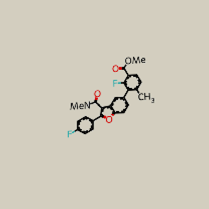 CNC(=O)c1c(-c2ccc(F)cc2)oc2ccc(-c3c(C)ccc(C(=O)OC)c3F)cc12